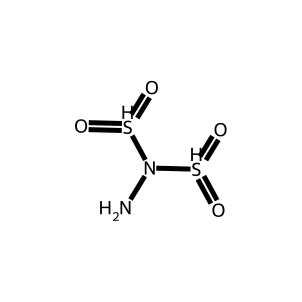 NN([SH](=O)=O)[SH](=O)=O